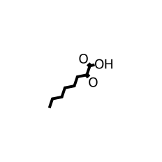 CCCCCCC(=O)C(=O)O